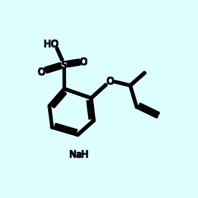 C=CC(C)Oc1ccccc1S(=O)(=O)O.[NaH]